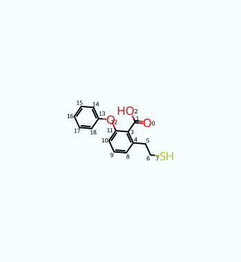 O=C(O)c1c(CCS)cccc1Oc1ccccc1